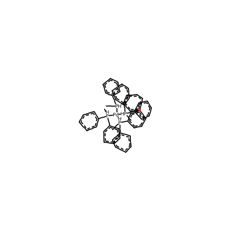 C[PH](c1ccccc1)(c1ccccc1)[Pd]([PH](C)(c1ccccc1)c1ccccc1)([PH](C)(c1ccccc1)c1ccccc1)[PH](C)(c1ccccc1)c1ccccc1